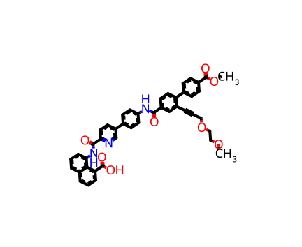 COCCOCC#Cc1cc(C(=O)Nc2ccc(-c3ccc(C(=O)Nc4cccc5cccc(C(=O)O)c45)nc3)cc2)ccc1-c1ccc(C(=O)OC)cc1